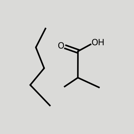 CC(C)C(=O)O.CCCCC